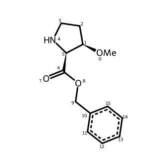 CO[C@@H]1CCN[C@@H]1C(=O)OCc1ccccc1